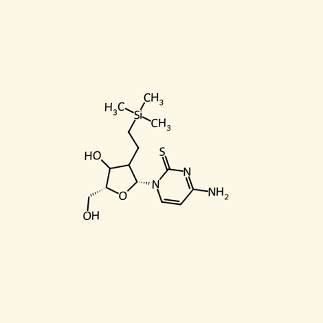 C[Si](C)(C)CCC1C(O)[C@@H](CO)O[C@H]1n1ccc(N)nc1=S